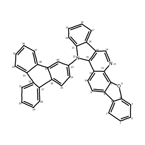 c1ccc2c(c1)oc1c2ccc2c1ncc1c3ccccc3n(-c3ccc4c5ccccc5c5ccccc5c4c3)c12